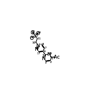 CC(=O)c1ccnc(-c2cc[n+](CCS(=O)(=O)[O-])nc2)n1